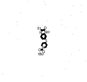 CCc1nc2ccc(SC3CCN(C(=O)OC(C)(C)C)CC3)cc2[nH]c1=O